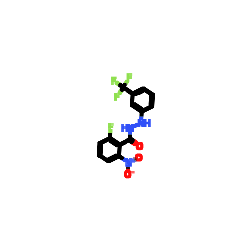 O=C(NNc1cccc(C(F)(F)F)c1)c1c(F)cccc1[N+](=O)[O-]